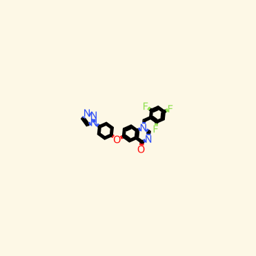 O=c1ncn(Cc2c(F)cc(F)cc2F)c2ccc(OC3CCC(n4ccnn4)CC3)cc12